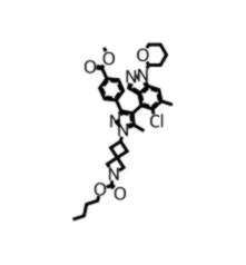 CCCCOC(=O)N1CC2(CC(n3nc(-c4ccc(C(=O)OC)cc4)c(-c4c(Cl)c(C)cc5c4cnn5C4CCCCO4)c3C)C2)C1